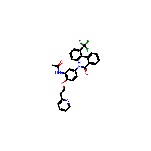 CC(=O)Nc1cc(NC(=O)c2ccccc2-c2ccccc2C(F)(F)F)ccc1OCCc1ccccn1